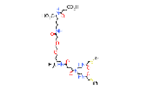 CC(CCOCCOCCC(=O)NCCCC[C@H](NC(=O)CCC(=O)O)C(=O)O)CNC(=O)CCC(=O)N(CCNC(=O)CSC(C)C)CCNC(=O)CSC(C)C